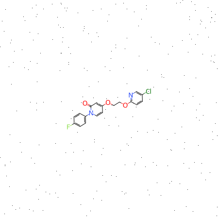 O=c1cc(OCCOc2ccc(Cl)cn2)ccn1-c1ccc(F)cc1